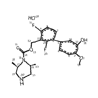 COc1ccc(-c2ccc(F)c(COC(=O)N3[C@H](C)CNC[C@@H]3C)c2F)cc1O.Cl